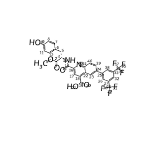 COC(=O)[C@H](Cc1ccc(O)cc1)NC(=O)c1cc(C(=O)O)c2cc(-c3cc(C(F)(F)F)cc(C(F)(F)F)c3)ccc2n1